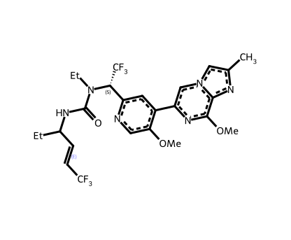 CCC(/C=C/C(F)(F)F)NC(=O)N(CC)[C@@H](c1cc(-c2cn3cc(C)nc3c(OC)n2)c(OC)cn1)C(F)(F)F